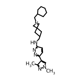 Cc1nn(C)cc1-c1ccc(NCC2CC3(C2)CN(CC2CCCCC2)C3)nn1